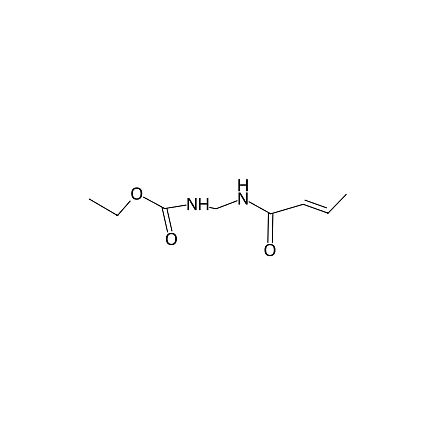 CC=CC(=O)NCNC(=O)OCC